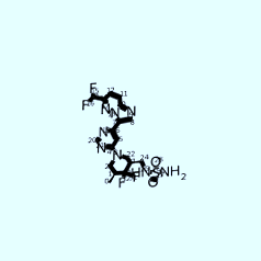 C[C@H]1CN(c2cc(-c3cnc4ccc(C(F)F)nn34)ncn2)C[C@@H](CNS(N)(=O)=O)C1(F)F